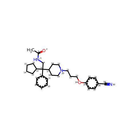 CC(=O)NCC(c1ccccc1)(C1CCCC1)C1CCN(CCCOc2ccc(C#N)cc2)CC1